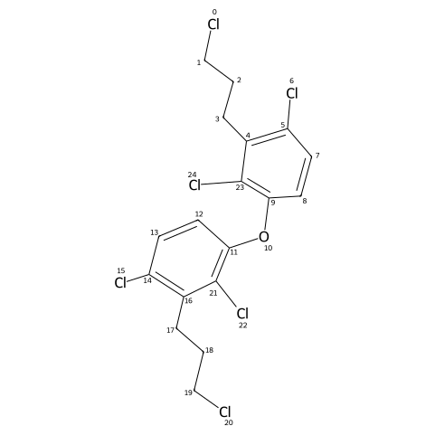 ClCCCc1c(Cl)ccc(Oc2ccc(Cl)c(CCCCl)c2Cl)c1Cl